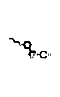 CCCCOc1cccc(/C(C=N)=C/NC2CCNCC2)c1